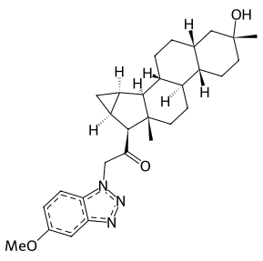 COc1ccc2c(c1)nnn2CC(=O)[C@H]1[C@H]2C[C@H]2[C@H]2[C@@H]3CC[C@@H]4C[C@](C)(O)CC[C@@H]4[C@H]3CC[C@@]21C